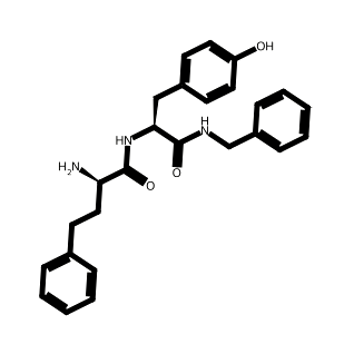 N[C@H](CCc1ccccc1)C(=O)N[C@@H](Cc1ccc(O)cc1)C(=O)NCc1cc[c]cc1